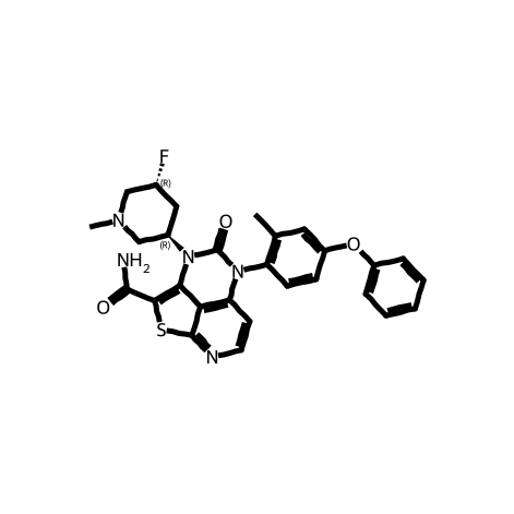 Cc1cc(Oc2ccccc2)ccc1N1C(=O)N([C@@H]2C[C@@H](F)CN(C)C2)c2c(C(N)=O)sc3nccc1c23